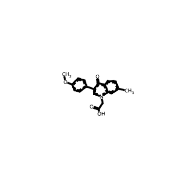 COc1ccc(-c2cn(CC(=O)O)c3cc(C)ccc3c2=O)cc1